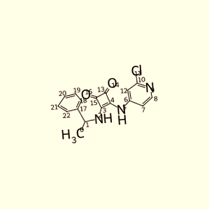 CC(Nc1c(Nc2ccnc(Cl)c2)c(=O)c1=O)c1ccccc1